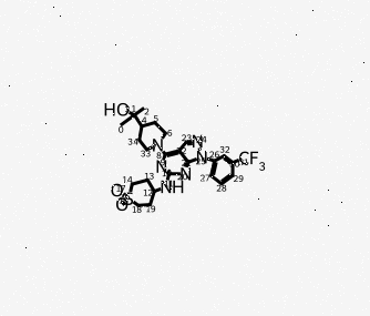 CC(C)(O)C1CCN(c2nc(NC3CCS(=O)(=O)CC3)nc3c2cnn3-c2cccc(C(F)(F)F)c2)CC1